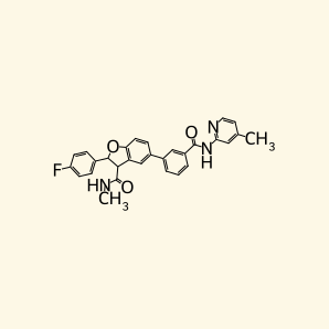 CNC(=O)C1c2cc(-c3cccc(C(=O)Nc4cc(C)ccn4)c3)ccc2OC1c1ccc(F)cc1